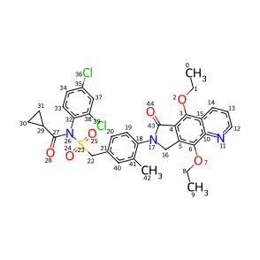 CCOc1c2c(c(OCC)c3ncccc13)CN(c1ccc(CS(=O)(=O)N(C(=O)C3CC3)c3ccc(Cl)cc3Cl)cc1C)C2=O